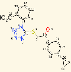 O=C(CSc1nnnn1-c1ccccc1C(=O)O)c1ccc(C2CC2)cc1